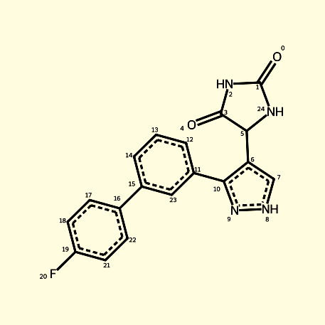 O=C1NC(=O)C(c2c[nH]nc2-c2cccc(-c3ccc(F)cc3)c2)N1